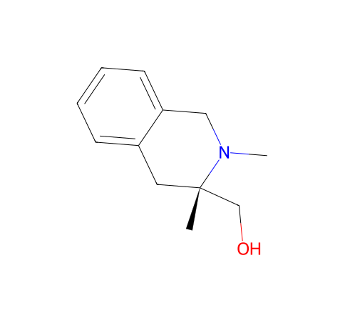 CN1Cc2ccccc2C[C@@]1(C)CO